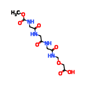 COC(=O)NCC(=O)NCC(=O)NCC(=O)NCOCC(=O)O